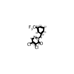 O=c1c(Cl)c(Cl)cnn1Cc1cccc(C(F)(F)F)c1